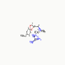 CCCN(CC)CC1COC2(CCC(C(C)(C)C)CC2)O1.N=C(N)N